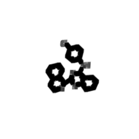 Clc1ccc(Nc2nc(-c3nccc4ccccc34)nc3ccccc23)cc1